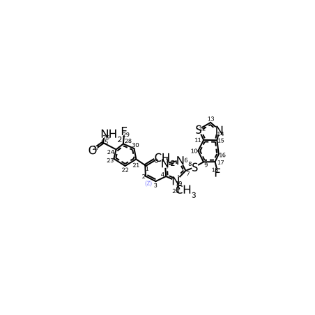 C=C(/C=C\c1nnc(Sc2cc3scnc3cc2F)n1C)c1ccc(C(N)=O)c(F)c1